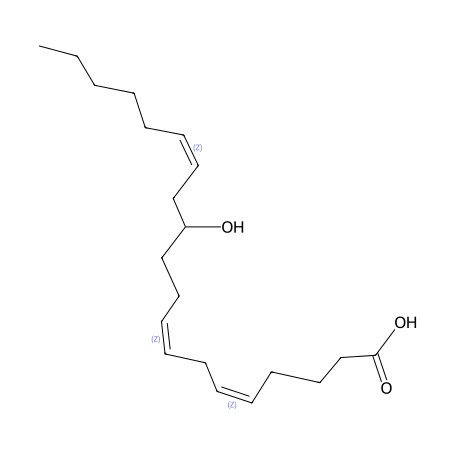 CCCCC/C=C\CC(O)CC/C=C\C/C=C\CCCC(=O)O